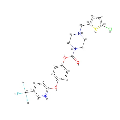 O=C(Oc1ccc(Oc2ccc(C(F)(F)F)cn2)cc1)N1CCN(Cc2ccc(Cl)s2)CC1